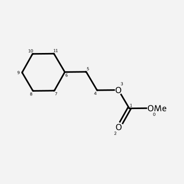 [CH2]OC(=O)OCCC1CCCCC1